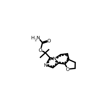 CC(C)(OC(N)=O)c1ncc2c3c(ccn12)CCO3